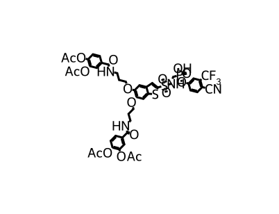 CC(=O)Oc1ccc(C(=O)NCCCOc2cc3cc(S(=O)(=O)NCP(=O)(O)Oc4ccc(C#N)c(C(F)(F)F)c4)sc3cc2OCCCNC(=O)c2ccc(OC(C)=O)c(OC(C)=O)c2)cc1OC(C)=O